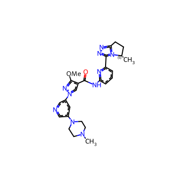 COc1nn(-c2cncc(N3CCN(C)CC3)c2)cc1C(=O)Nc1cccc(-c2nnc3n2[C@@H](C)CC3)n1